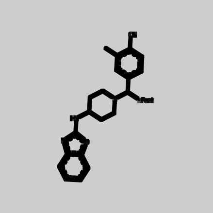 CCCCCC(c1ccc(C#N)c(C)c1)N1CCC(Nc2nc3ccccc3o2)CC1